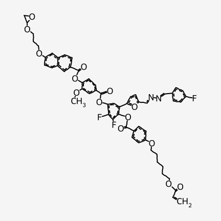 C=CC(=O)OCCCCCCOc1ccc(C(=O)Oc2c(-c3ccc(/C=N/N=C/c4ccc(F)cc4)o3)cc(OC(=O)c3ccc(OC(=O)c4ccc5cc(OCCCOC6CO6)ccc5c4)c(OC)c3)c(F)c2F)cc1